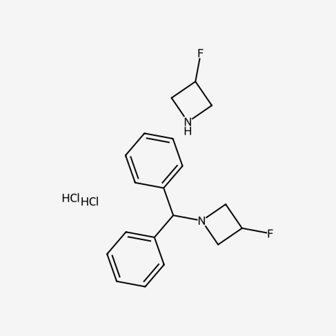 Cl.Cl.FC1CN(C(c2ccccc2)c2ccccc2)C1.FC1CNC1